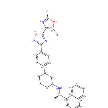 Cc1nc(-c2nc(-c3ccc(C4CCCC(N[C@H](C)c5cccc6ccccc56)C4)cc3)no2)c(C)o1